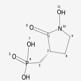 O=C1[C@@H](CP(=O)(O)O)CCN1O